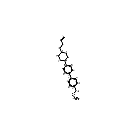 C=CCCC1CCC(c2ccc(-c3ccc(COCCC)cc3)cc2)CC1